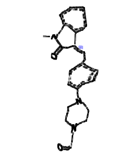 CN1C(=O)/C(=C\c2ccc(N3CCN(C=O)CC3)cc2)c2ccccc21